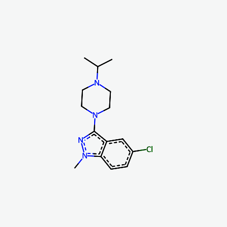 CC(C)N1CCN(c2nn(C)c3ccc(Cl)cc23)CC1